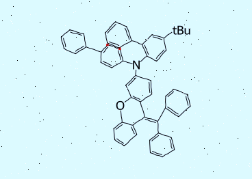 CC(C)(C)c1ccc(N(c2ccc(-c3ccccc3)cc2)c2ccc3c(c2)Oc2ccccc2C3=C(c2ccccc2)c2ccccc2)c(-c2ccccc2)c1